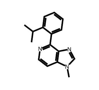 CC(C)c1ccccc1-c1nccc2c1ncn2C